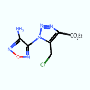 CCOC(=O)c1nnn(-c2nonc2N)c1CCl